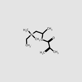 [CH2]C[N+](C)(C)CC(C)OC(=O)C(=C)C